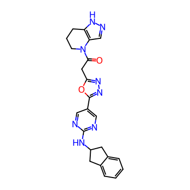 O=C(Cc1nnc(-c2cnc(NC3Cc4ccccc4C3)nc2)o1)N1CCCc2[nH]ncc21